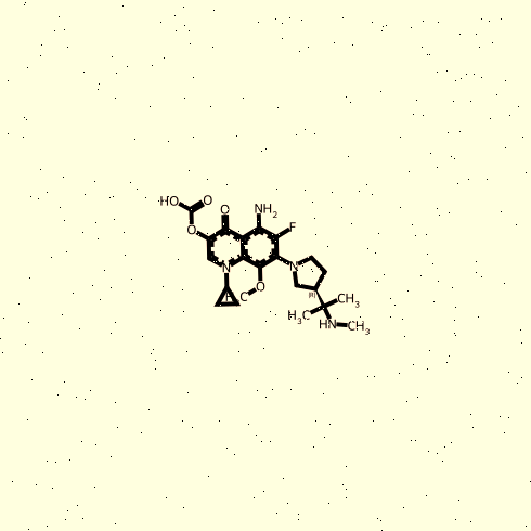 CNC(C)(C)[C@@H]1CCN(c2c(F)c(N)c3c(=O)c(OC(=O)O)cn(C4CC4)c3c2OC)C1